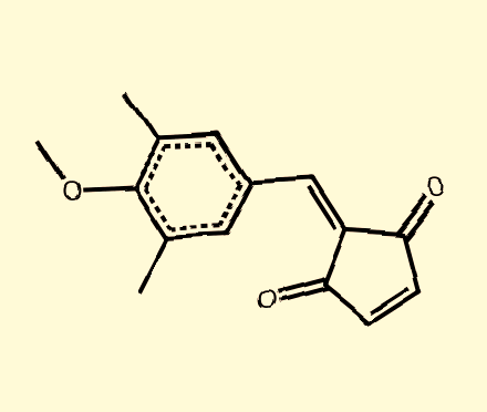 COc1c(C)cc(C=C2C(=O)C=CC2=O)cc1C